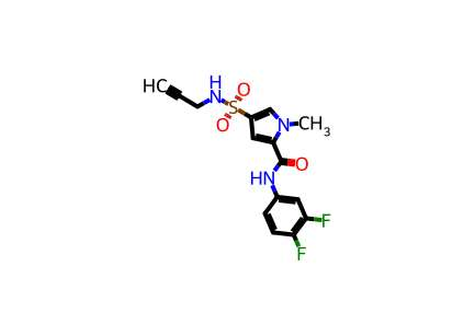 C#CCNS(=O)(=O)c1cc(C(=O)Nc2ccc(F)c(F)c2)n(C)c1